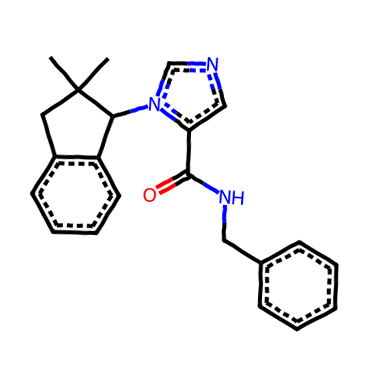 CC1(C)Cc2ccccc2C1n1cncc1C(=O)NCc1ccccc1